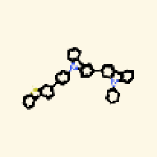 c1ccc(-n2c3ccccc3c3ccc(-c4ccc5c(c4)c4ccccc4n5-c4ccc(-c5ccc6c(c5)sc5ccccc56)cc4)cc32)cc1